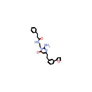 Nc1nc(CCc2cccc(-c3ccco3)c2)cc(=O)n1CCNC(=O)CCc1ccccc1